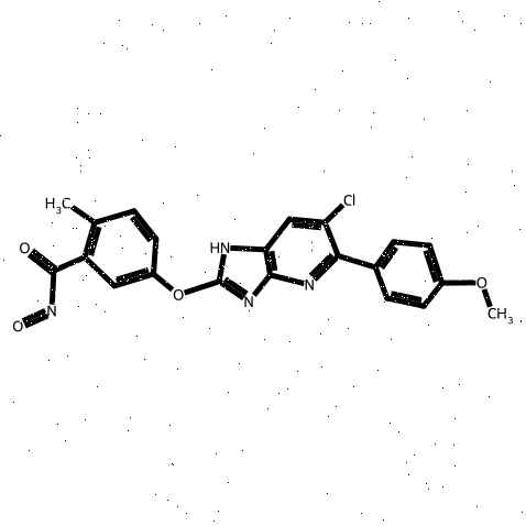 COc1ccc(-c2nc3nc(Oc4ccc(C)c(C(=O)N=O)c4)[nH]c3cc2Cl)cc1